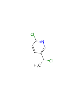 C[C@@H](Cl)c1ccc(Cl)nc1